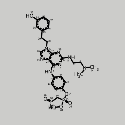 CN(C)CCNc1nc(Nc2ccc(OP(=O)(C[PH2]=O)OO)cc2)c2ncn(CCc3cccc(O)c3)c2n1